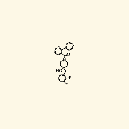 O=C(c1cccnc1-c1ccncc1)N1CCC(O)(Cc2cccc(F)c2F)CC1